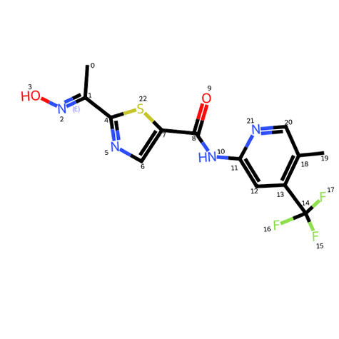 C/C(=N\O)c1ncc(C(=O)Nc2cc(C(F)(F)F)c(C)cn2)s1